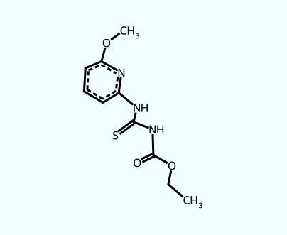 CCOC(=O)NC(=S)Nc1cccc(OC)n1